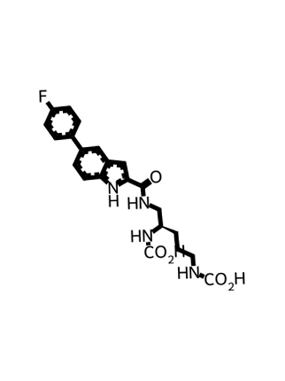 O=C(O)NCCC[C@H](CNC(=O)c1cc2cc(-c3ccc(F)cc3)ccc2[nH]1)NC(=O)O